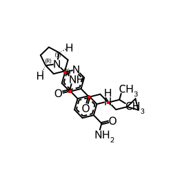 CC(C)CCC(=O)c1ccc(N2[C@@H]3CC[C@H]2C[C@@H](NC(=O)c2ccc(C(N)=O)c(NCC4CC4)c2)C3)nc1